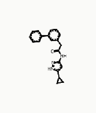 O=C(Cc1cccc(-c2ccccc2)c1)Nc1cc(C2CC2)[nH]n1